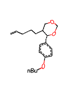 C=CCCCC1COCOC1c1ccc(OCCCC)cc1